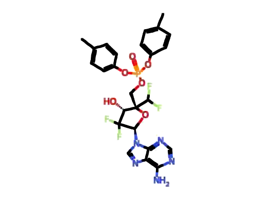 Cc1ccc(OP(=O)(OC[C@@]2(C(F)F)O[C@@H](n3cnc4c(N)ncnc43)C(F)(F)[C@@H]2O)Oc2ccc(C)cc2)cc1